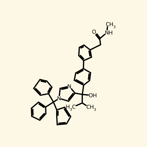 CNC(=O)Cc1cccc(-c2ccc(C(O)(c3cn(C(c4ccccc4)(c4ccccc4)c4ccccc4)cn3)C(C)C)cc2)c1